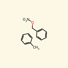 Cc1ccccc1.O=[N+]([O-])OCc1ccccc1